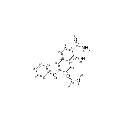 COC(C)=O.NC(=O)c1ncc2cc(Oc3ccccc3)ccc2c1O